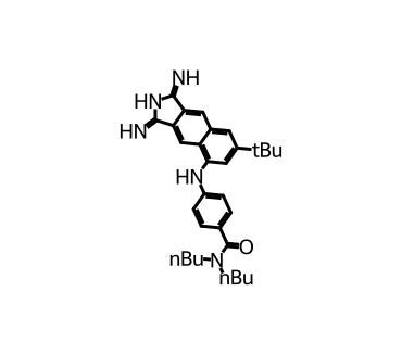 CCCCN(CCCC)C(=O)c1ccc(Nc2cc(C(C)(C)C)cc3cc4c(cc23)C(=N)NC4=N)cc1